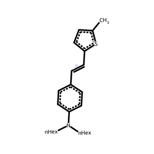 CCCCCCN(CCCCCC)c1ccc(/C=C/c2ccc(C)s2)cc1